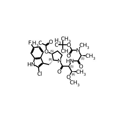 CO[C@H](C)[C@H](NC(=O)[C@H](C)N(C)C(=O)OC(C)(C)C)C(=O)N1CC[C@H](OC(C)=O)[C@H]1Cc1c(Cl)[nH]c2cc(F)ccc12